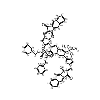 CC1(C)Oc2cc(N=c3c(=O)c4cc5ccccc5cc4c3=O)sc2C2=CC3C=C4C(=CC3C=C21)c1sc(N=c2c(=O)c3cc5ccccc5cc3c2=O)cc1OC4(C(=O)OCc1ccccc1)C(=O)OCc1ccccc1